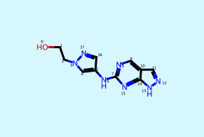 OCCn1cc(Nc2ncc3cn[nH]c3n2)cn1